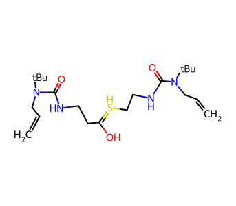 C=CCN(C(=O)NCC[SH]=C(O)CCNC(=O)N(CC=C)C(C)(C)C)C(C)(C)C